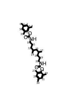 Cc1cc(C)c(OC(=O)NCCCC(C)CC(C)CCCNC(=O)Oc2c(C)cc(C)cc2C)c(C)c1